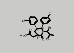 CCC(C(C)O)N1C(=O)[C@@](C)(CC(=O)OC)C[C@H](c2cccc(Cl)c2)[C@H]1c1ccc(Cl)cc1